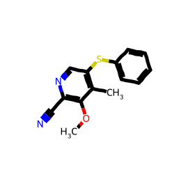 COc1c(C#N)ncc(Sc2ccccc2)c1C